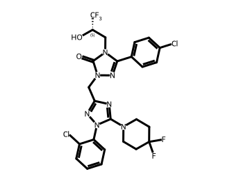 O=c1n(Cc2nc(N3CCC(F)(F)CC3)n(-c3ccccc3Cl)n2)nc(-c2ccc(Cl)cc2)n1C[C@H](O)C(F)(F)F